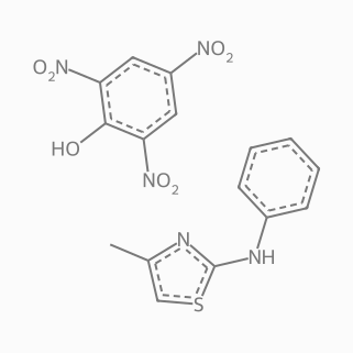 Cc1csc(Nc2ccccc2)n1.O=[N+]([O-])c1cc([N+](=O)[O-])c(O)c([N+](=O)[O-])c1